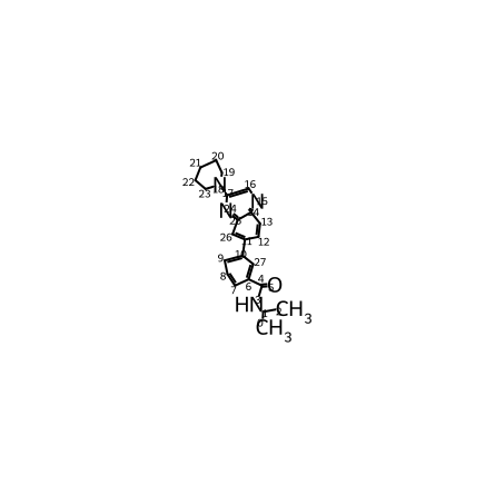 CC(C)NC(=O)c1cccc(-c2ccc3ncc(N4CCCCC4)nc3c2)c1